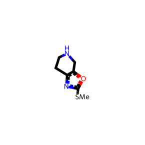 CSc1nc2c(o1)CNCC2